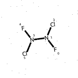 FN(Cl)N(F)Cl